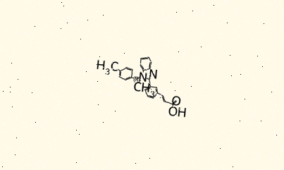 Cc1ccc([C@@H](C)n2c(-c3cccc(C=CC(=O)O)c3)nc3ccccc32)cc1